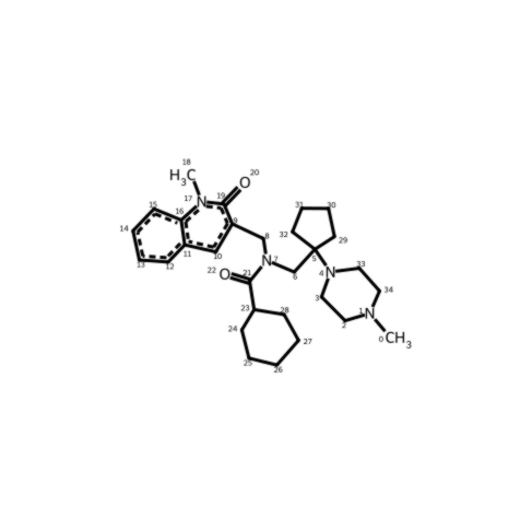 CN1CCN(C2(CN(Cc3cc4ccccc4n(C)c3=O)C(=O)C3CCCCC3)CCCC2)CC1